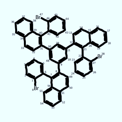 Brc1ccccc1-c1c(-c2cc(-c3ccc4ccccc4c3-c3ccccc3Br)cc(-c3ccc4ccccc4c3-c3ccccc3Br)c2)ccc2ccccc12